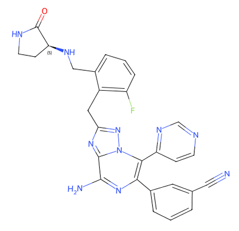 N#Cc1cccc(-c2nc(N)c3nc(Cc4c(F)cccc4CN[C@H]4CCNC4=O)nn3c2-c2ccncn2)c1